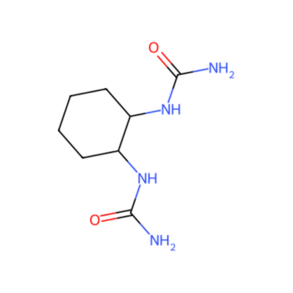 NC(=O)NC1CCCCC1NC(N)=O